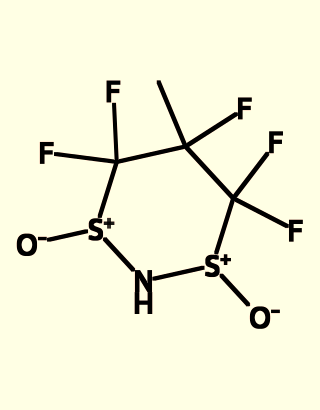 CC1(F)C(F)(F)[S+]([O-])N[S+]([O-])C1(F)F